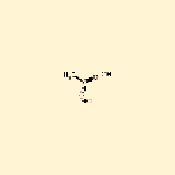 C[SH](=O)=O.Cl.Cl